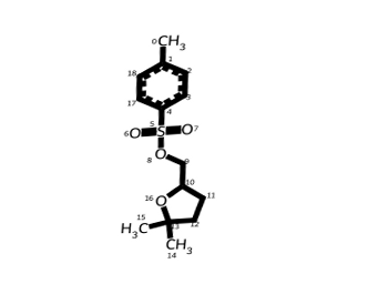 Cc1ccc(S(=O)(=O)OCC2CCC(C)(C)O2)cc1